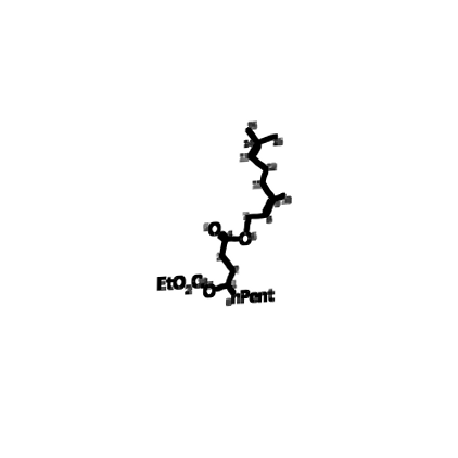 CCCCCC(CCC(=O)OCC=C(C)CCC=C(C)C)OC(=O)OCC